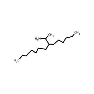 CCCCCCCC(CCCCCC)C(C)N